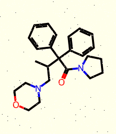 CC(CN1CCOCC1)C(C(=O)N1CCCC1)(c1ccccc1)c1ccccc1